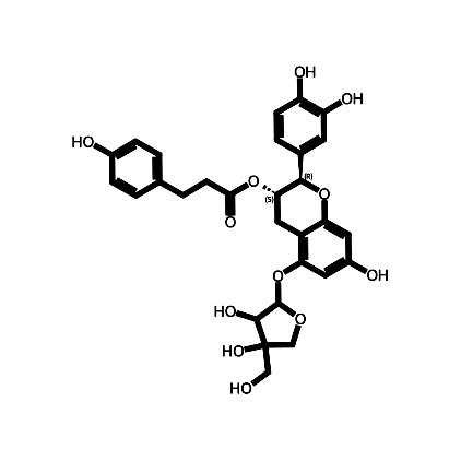 O=C(CCc1ccc(O)cc1)O[C@H]1Cc2c(OC3OCC(O)(CO)C3O)cc(O)cc2O[C@@H]1c1ccc(O)c(O)c1